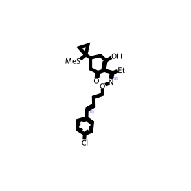 CC/C(=N/OCC/C=C/c1ccc(Cl)cc1)C1=C(O)CC(C2(SC)CC2)CC1=O